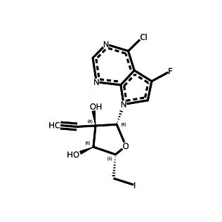 C#C[C@@]1(O)[C@H](O)[C@@H](CI)O[C@H]1n1cc(F)c2c(Cl)ncnc21